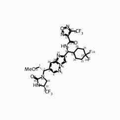 COC[C@H](c1cnn2cc([C@@H](NC(=O)c3nonc3C(F)(F)F)C3CCC(F)(F)CC3)nc2c1)N1C[C@@H](C(F)(F)F)NC1=O